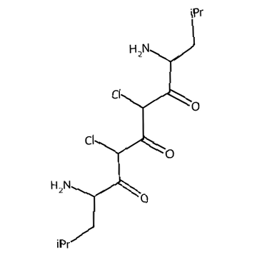 CC(C)CC(N)C(=O)C(Cl)C(=O)C(Cl)C(=O)C(N)CC(C)C